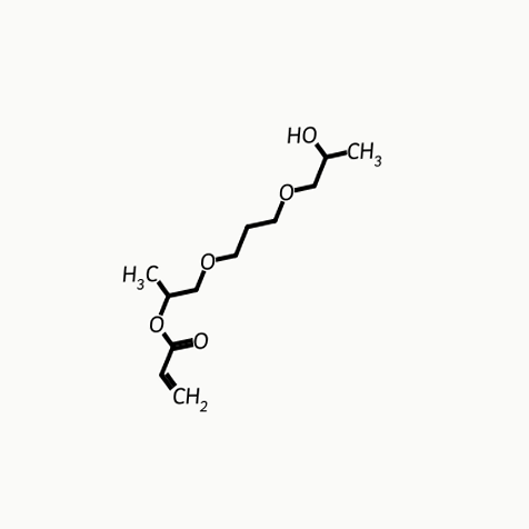 C=CC(=O)OC(C)COCCCOCC(C)O